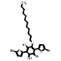 CCCCCCCCCCCCOC1=C(c2ccc(Br)s2)C(=N)C(=N)C(c2ccc(Br)s2)=C1O